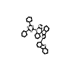 c1ccc(-c2nc(-c3ccccc3)nc(N3c4ccccc4C4(c5ccccc5-c5ccc(-c6cccc7c6sc6ccccc67)cc54)c4ccccc43)n2)cc1